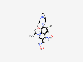 C[C@H]1COc2c(N3CCN(C)CC3)c(F)cc3/c(=N\O)c(/C=N/O)cn1c23